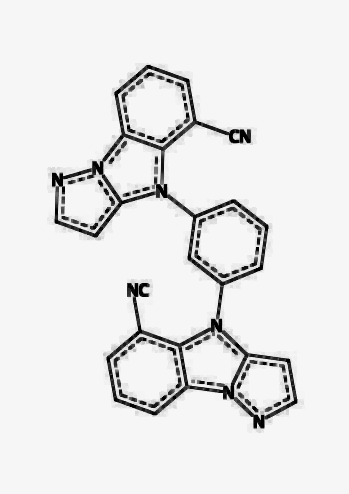 [C-]#[N+]c1cccc2c1n(-c1cccc(-n3c4c(C#N)cccc4n4nccc34)c1)c1ccnn21